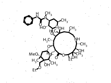 CCOC[C@]1(O)[C@H](C)O[C@@H](O[C@H]2[C@H](C)[C@@H](O[C@@H]3O[C@H](C)C[C@H](N(C)C(=O)Nc4ccccc4)[C@H]3O)[C@](C)(O)C[C@@H](C)CN[C@H](C)[C@@H](O)[C@](C)(O)[C@@H](CC)OC(=O)[C@@H]2C)C[C@@]1(C)OC